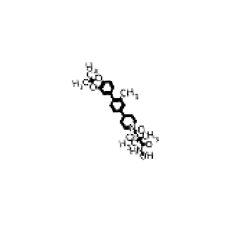 Cc1cc(C2CCN(S(=O)(=O)C(C)(C)C(=O)NO)CC2)ccc1-c1ccc2c(c1)OC(C)(C)O2